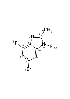 Cc1nc2c(F)cc(Br)cc2n1F